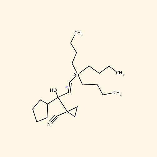 CCC[CH2][Sn](/[CH]=C/C(O)(C1CCCC1)C1(C#N)CC1)([CH2]CCC)[CH2]CCC